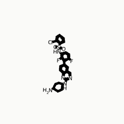 NC1CCC(Nc2ncc3cc(-c4c(F)ccc(NS(=O)(=O)c5ccccc5Cl)c4F)ccc3n2)CC1